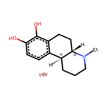 Br.CCN1CCC[C@H]2c3ccc(O)c(O)c3CC[C@@H]21